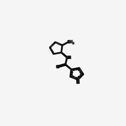 CC1CCCC1NC(=O)c1cc[nH]c1